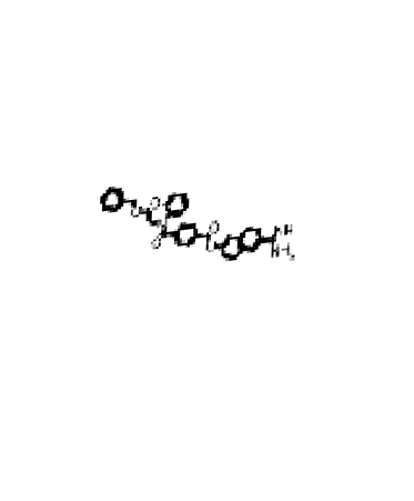 N=C(N)C1=Cc2ccc(OC(=O)c3ccc(C(=O)N(CC(=O)OCc4ccccc4)c4ccccc4)cc3)cc2CC1